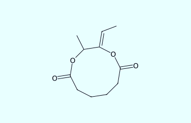 CC=C1OC(=O)CCCCC(=O)OC1C